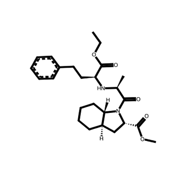 CCOC(=O)[C@H](CCc1ccccc1)N[C@@H](C)C(=O)N1[C@H](C(=O)OC)C[C@H]2CCCC[C@@H]21